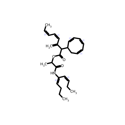 C=C(/C=C\C=C/C)C(C(=O)OC(C)C(=O)NC(/C=C\CC)=C/CCC)C1\C=C/C=C\C=C/C1